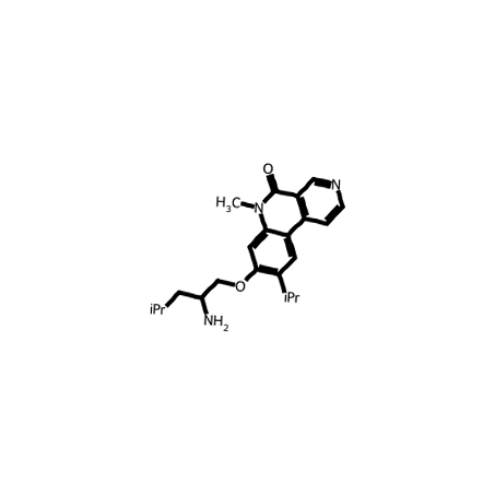 CC(C)CC(N)COc1cc2c(cc1C(C)C)c1ccncc1c(=O)n2C